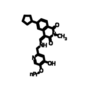 CCCOc1cnc(CN/C=C2\C(=O)N(C)C(=O)c3ccc(C4CCCC4)cc32)cc1O